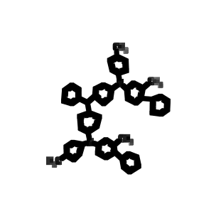 Cc1ccc(N(c2ccc(C(c3ccccc3)c3ccc(N(c4ccc(C)cc4)c4ccc(-c5ccccc5)c(C)c4)cc3)cc2)c2ccc(-c3ccccc3)c(C)c2)cc1